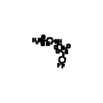 NS(=O)(=O)c1ccc(NC(=O)CN2C(=O)SC(=C3CCC(F)(F)CC3)C2=O)cn1